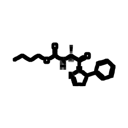 CCCCOC(=O)N[C@H](C)C(=O)N1N=CCC1c1ccccc1